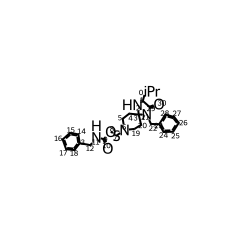 CC(C)C1NC2(CCN(SOC(=O)NCc3ccccc3)CC2)N(Cc2ccccc2)C1=O